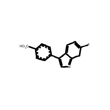 O=C(O)c1ccc(C2=CN=C3CC(F)=CC=C23)cc1